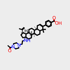 C=C(C)[C@@H]1CC[C@]2(NCCN3CCN(C(C)=O)CC3)CC[C@]3(C)[C@H](CCC4[C@@]5(C)CC=C(c6ccc(C(=O)O)cc6)C(C)(C)C5CC[C@]43C)C12